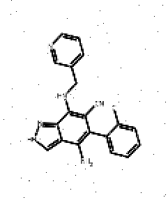 N#Cc1c(-c2ccccc2Cl)c(N)c2c[nH]nc2c1NCc1cccnc1